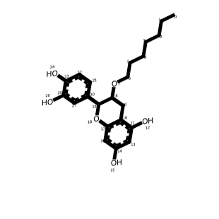 CCCCCCCOC1Cc2c(O)cc(O)cc2OC1c1ccc(O)c(O)c1